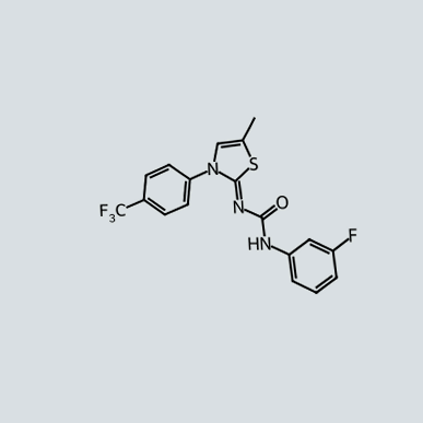 Cc1cn(-c2ccc(C(F)(F)F)cc2)c(=NC(=O)Nc2cccc(F)c2)s1